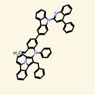 C=Cc1ccc(-c2ccc3c(c2)c2ccccc2n3-c2cc(-c3ccccc3)c3ccccc3n2)cc1N(c1ccccc1)c1c(Cc2ccccc2)c2c3ccccc3c3cccc1n32